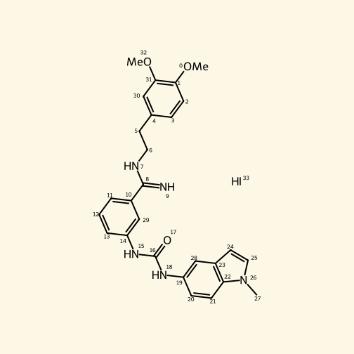 COc1ccc(CCNC(=N)c2cccc(NC(=O)Nc3ccc4c(ccn4C)c3)c2)cc1OC.I